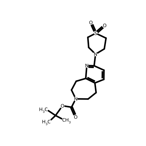 CC(C)(C)OC(=O)N1CCc2ccc(N3CCS(=O)(=O)CC3)nc2CC1